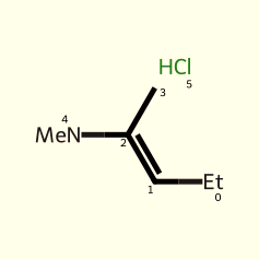 CCC=C(C)NC.Cl